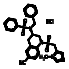 Cl.Cn1cncc1CS(=O)(=O)N1CC(N(Cc2ccccc2)S(=O)(=O)c2ccccc2)Cc2cc(C#N)ccc21